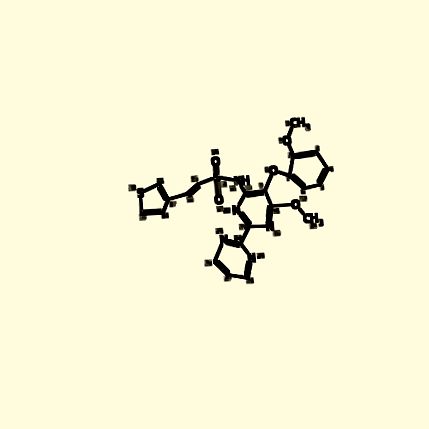 COc1ccccc1Oc1c(NS(=O)(=O)C=Cc2ccsc2)nc(-c2ncccn2)nc1OC